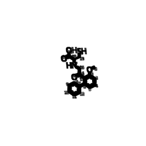 COc1cccc(-c2ccccc2)c1C(=O)CN[C@H](CS)C(=O)O